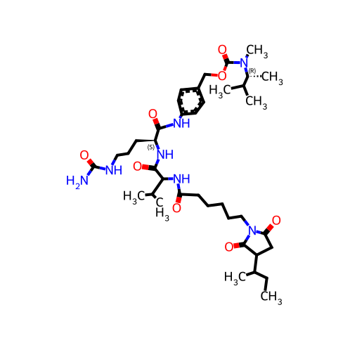 CCC(C)C1CC(=O)N(CCCCCC(=O)NC(C(=O)N[C@@H](CCCNC(N)=O)C(=O)Nc2ccc(COC(=O)N(C)[C@H](C)C(C)C)cc2)C(C)C)C1=O